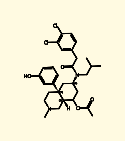 CC(=O)OC1C[C@H](N(CC(C)C)C(=O)Cc2ccc(Cl)c(Cl)c2)C[C@]2(c3cccc(O)c3)CCN(C)C[C@@H]12